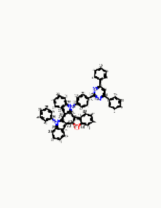 c1ccc(-c2cc(-c3ccccc3)nc(-c3ccc(-n4c5ccccc5c5c6c(c7ccccc7n6-c6ccccc6)c6oc7ccccc7c6c54)cc3)n2)cc1